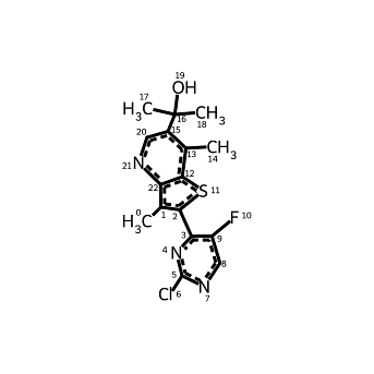 Cc1c(-c2nc(Cl)ncc2F)sc2c(C)c(C(C)(C)O)cnc12